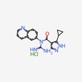 Cl.N=C(N)N(C(=O)c1cn[nH]c1C1CC1)c1ccc2ncccc2c1